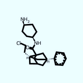 N[C@H]1CC[C@@H](NC(=O)C23CC4C[C@](c5ccccc5)(C2)C[C@@]3(CCCl)C4)CC1